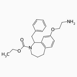 CCOC(=O)N1CCCc2ccc(OCCN)cc2C1Cc1ccccc1